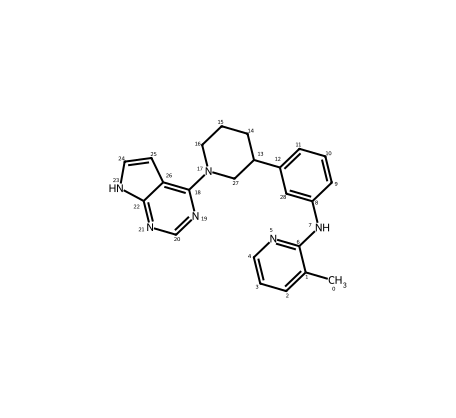 Cc1cccnc1Nc1cccc(C2CCCN(c3ncnc4[nH]ccc34)C2)c1